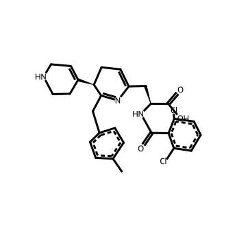 Cc1ccc(CC2=NC(C[C@H](NC(=O)c3c(Cl)cccc3Cl)C(=O)O)=CC[C@@H]2C2=CCNCC2)cc1